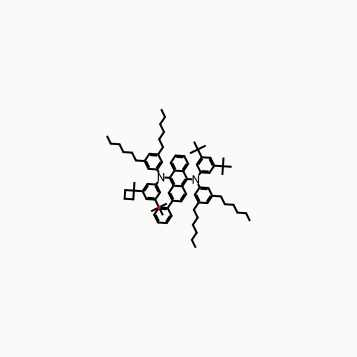 CCCCCCc1cc(CCCCCC)cc(N(c2cc(C(C)(C)C)cc(C(C)(C)C)c2)c2c3ccccc3c(N(c3cc(CCCCCC)cc(CCCCCC)c3)c3cc(C(C)(C)C)cc(C4(C)CCC4)c3)c3cc(-c4ccccc4)ccc23)c1